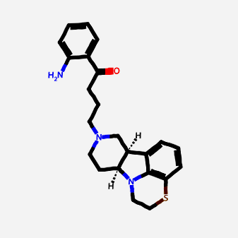 Nc1ccccc1C(=O)CCCN1CC[C@H]2[C@@H](C1)c1cccc3c1N2CCS3